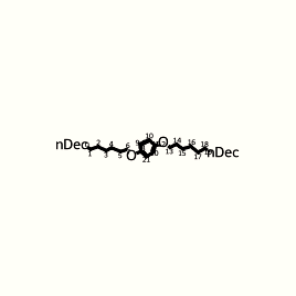 CCCCCCCCCCCCCCCCOc1ccc(OCCCCCCCCCCCCCCCC)cc1